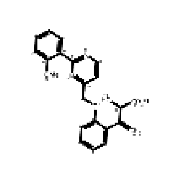 C=C(c1ccccc1OCc1ccnc(-c2ccccc2OC)n1)C(O)C(=O)OCC